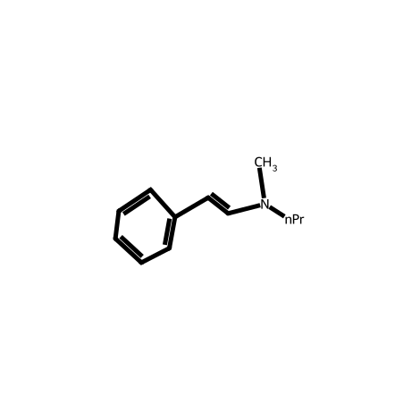 [CH2]CCN(C)C=Cc1ccccc1